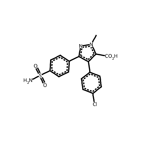 Cn1nc(-c2ccc(S(N)(=O)=O)cc2)c(-c2ccc(Cl)cc2)c1C(=O)O